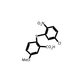 COc1ccc(Sc2cc(Cl)ccc2[N+](=O)[O-])c(C(=O)O)c1